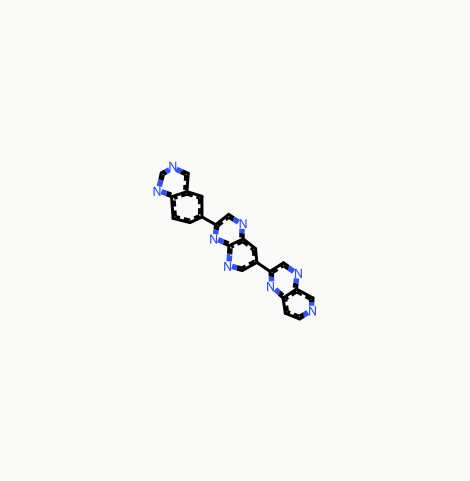 c1cc2nc(-c3cnc4nc(-c5ccc6ncncc6c5)cnc4c3)cnc2cn1